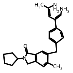 C/C(N)=C/C(=C\N)c1ccc(Cc2cc3c(cc2C)CN(C2CCCC2)C3=O)cc1